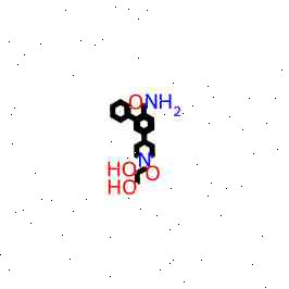 NC(=O)c1ccc(C2CCN(C(=O)C(O)CO)CC2)cc1C1=CCCCC1